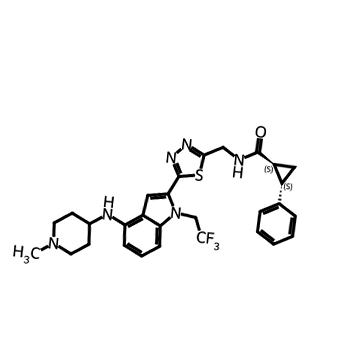 CN1CCC(Nc2cccc3c2cc(-c2nnc(CNC(=O)[C@H]4C[C@@H]4c4ccccc4)s2)n3CC(F)(F)F)CC1